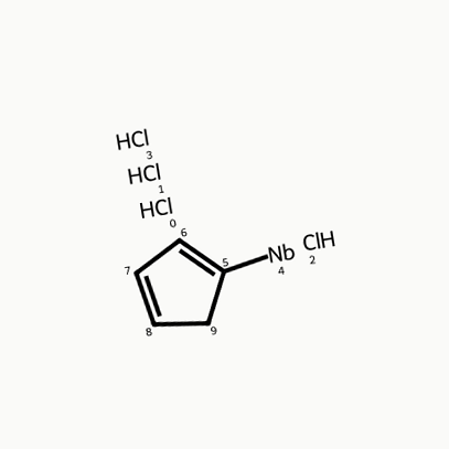 Cl.Cl.Cl.Cl.[Nb][C]1=CC=CC1